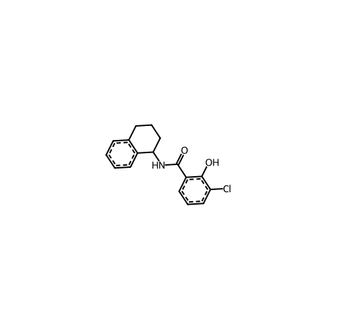 O=C(NC1CCCc2ccccc21)c1cccc(Cl)c1O